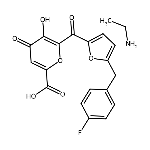 CCN.O=C(O)c1cc(=O)c(O)c(C(=O)c2ccc(Cc3ccc(F)cc3)o2)o1